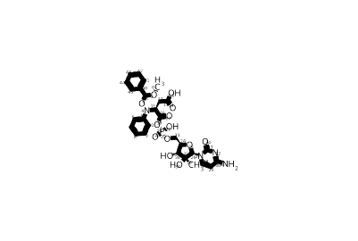 COC(ON(c1ccccc1)[C@@H](CC(=O)O)C(=O)OP(=O)(O)OC[C@H]1O[C@@H](n2ccc(N)nc2=O)[C@](C)(O)[C@@H]1O)c1ccccc1